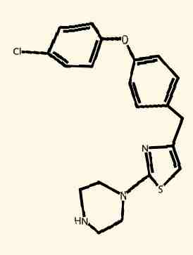 Clc1ccc(Oc2ccc(Cc3csc(N4CCNCC4)n3)cc2)cc1